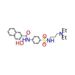 CCN(CC)CCCNS(=O)(=O)c1ccc(NC(=O)c2cc3ccccc3cc2O)cc1